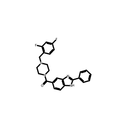 O=C(c1ccc2[nH]c(-c3ccccc3)nc2c1)N1CCN(Cc2ccc(F)cc2F)CC1